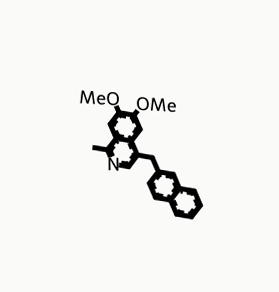 COc1cc2c(Cc3ccc4ccccc4c3)cnc(C)c2cc1OC